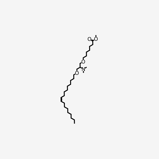 CCCCCCCC/C=C\CCCCCCCCOCC(COCCCCCCC(=O)OC)N(C)C